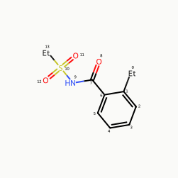 CCc1ccccc1C(=O)NS(=O)(=O)CC